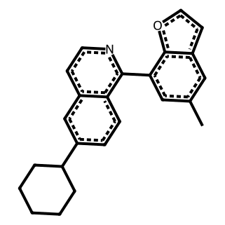 Cc1cc(-c2nccc3cc(C4CCCCC4)ccc23)c2occc2c1